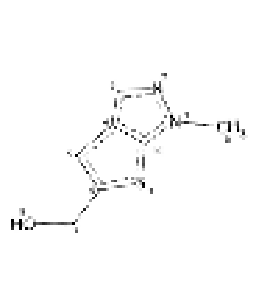 Cn1ncc2cc(CO)sc21